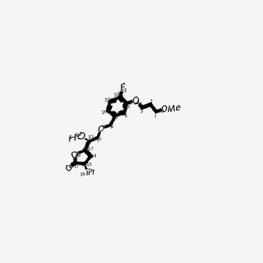 COCCCOc1cc(COC[C@@H](O)C2C[C@@H](C(C)C)C(=O)O2)ccc1F